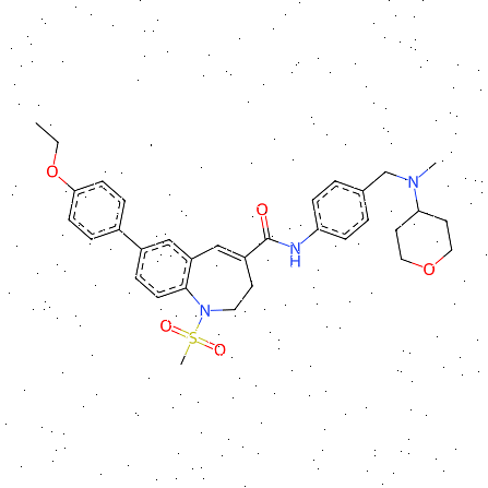 CCOc1ccc(-c2ccc3c(c2)C=C(C(=O)Nc2ccc(CN(C)C4CCOCC4)cc2)CCN3S(C)(=O)=O)cc1